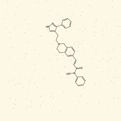 O=C(C=Cc1ccc2c(c1)CCN(CCc1c[nH]nc1-c1ccccc1)C2)N(O)c1ccccc1